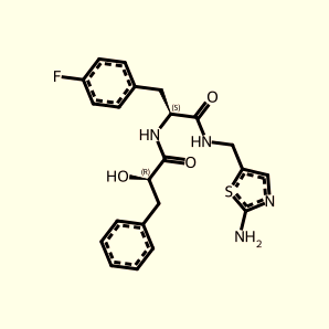 Nc1ncc(CNC(=O)[C@H](Cc2ccc(F)cc2)NC(=O)[C@H](O)Cc2ccccc2)s1